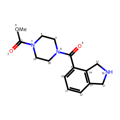 COC(=O)N1CCN(C(=O)c2cccc3c2CNC3)CC1